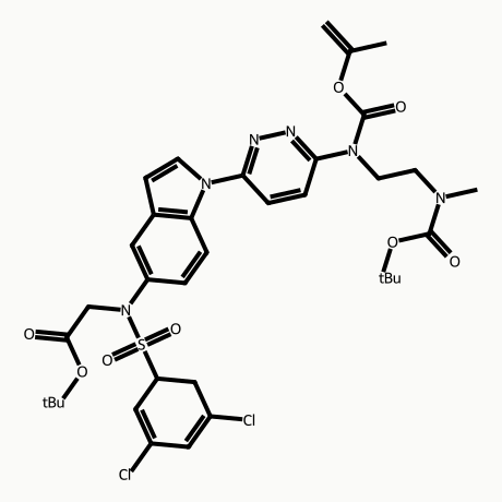 C=C(C)OC(=O)N(CCN(C)C(=O)OC(C)(C)C)c1ccc(-n2ccc3cc(N(CC(=O)OC(C)(C)C)S(=O)(=O)C4C=C(Cl)C=C(Cl)C4)ccc32)nn1